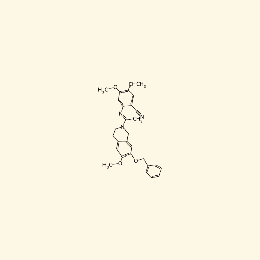 COc1cc(C#N)c(N=C(C)N2CCc3cc(OC)c(OCc4ccccc4)cc3C2)cc1OC